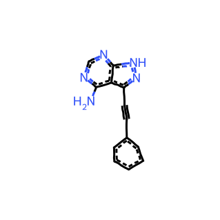 Nc1ncnc2[nH]nc(C#Cc3ccccc3)c12